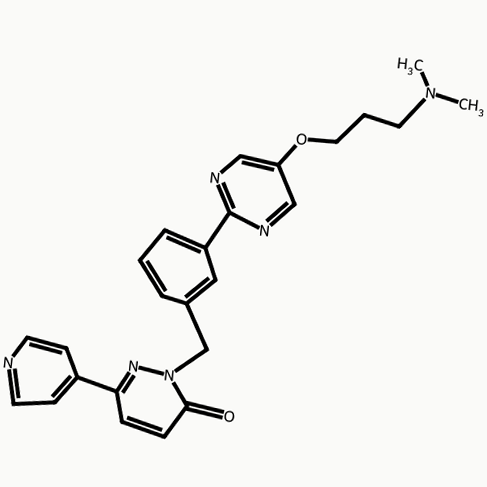 CN(C)CCCOc1cnc(-c2cccc(Cn3nc(-c4ccncc4)ccc3=O)c2)nc1